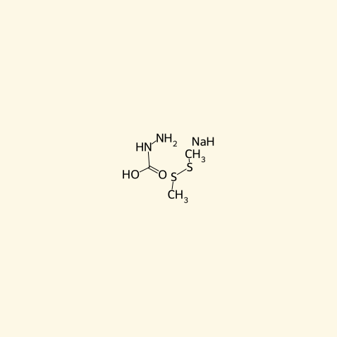 CSSC.NNC(=O)O.[NaH]